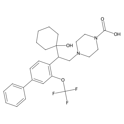 O=C(O)N1CCN(CC(c2ccc(-c3ccccc3)cc2OC(F)(F)F)C2(O)CCCCC2)CC1